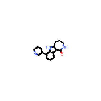 O=C1NCCCc2[nH]c3c(-c4cccnc4)cccc3c21